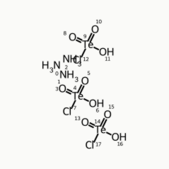 N.N.N.O=[Te](=O)(O)Cl.O=[Te](=O)(O)Cl.O=[Te](=O)(O)Cl